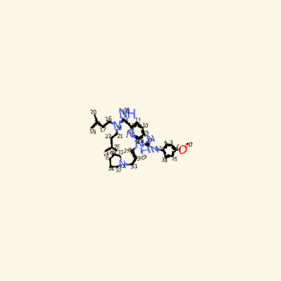 COc1ccc(Nc2nc3ccc(C(=N)N(CCC(C)C)CCC(C)C)nc3n2CCCN2CCCCC2)cc1